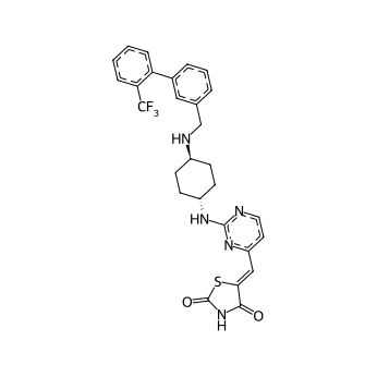 O=C1NC(=O)C(=Cc2ccnc(N[C@H]3CC[C@H](NCc4cccc(-c5ccccc5C(F)(F)F)c4)CC3)n2)S1